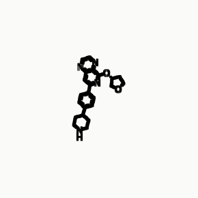 c1cnc2c(O[C@@H]3CCOC3)nc(-c3ccc(C4CCNCC4)cc3)cc2n1